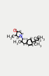 CCC(C)(C)c1ccc(CC(C)CN2CCC(=O)C(C)C2)cc1